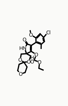 CCOC(O)OC1=C(c2c(C)cc(Cl)cc2OC)C(=O)NC12COC1(CCOCC1)OC2